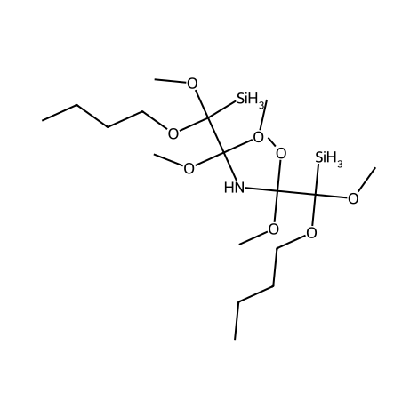 CCCCOC([SiH3])(OC)C(NC(OC)(OC)C([SiH3])(OC)OCCCC)(OC)OC